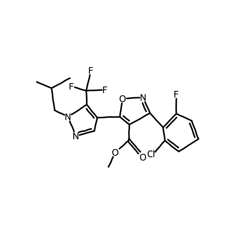 COC(=O)c1c(-c2c(F)cccc2Cl)noc1-c1cnn(CC(C)C)c1C(F)(F)F